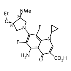 CCO[C@@H]1CN(c2c(F)c(N)c3c(=O)c(C(=O)O)cn(C4CC4)c3c2F)C[C@@H]1NC